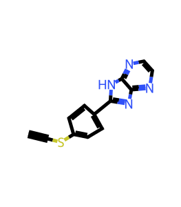 C#CSc1ccc(-c2nc3nccnc3[nH]2)cc1